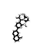 COc1nc(-c2ccc3cccc(F)c3c2)ccc1C(C(C)C)n1ccsc1=N